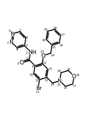 O=C(Nc1ccnnc1)c1cc(Br)c(CN2CCOCC2)cc1OCc1ccccc1